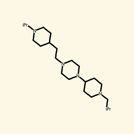 CC(C)CN1CCC(N2CCN(CCC3CCN(C(C)C)CC3)CC2)CC1